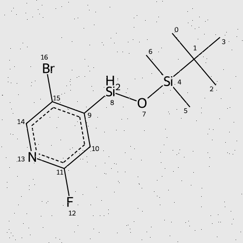 CC(C)(C)[Si](C)(C)O[SiH2]c1cc(F)ncc1Br